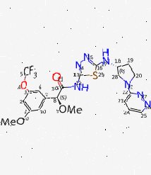 COc1cc(OC(F)(F)F)cc([C@H](OC)C(=O)Nc2nnc(N[C@@H]3CCN(c4cccnn4)C3)s2)c1